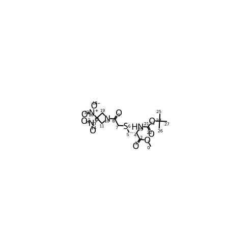 COC(=O)[C@H](CSCC(=O)N1CC([N+](=O)[O-])([N+](=O)[O-])C1)NC(=O)OC(C)(C)C